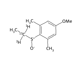 [1H][13C]([2H])(C)[S+]([O-])c1c(C)cc(OC)cc1C